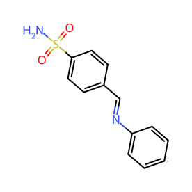 NS(=O)(=O)c1ccc(C=Nc2cc[c]cc2)cc1